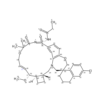 CCC(=O)N[S@@]1(=O)=NC(=O)C(C)(C)OC/C=C/[C@@H](OC)[C@@H]2CC[C@H]2CN2C[C@@]3(CCCc4cc(Cl)ccc43)COc3ccc1cc32